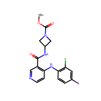 CC(C)(C)OC(=O)N1CC(NC(=O)c2cnccc2Nc2ccc(I)cc2F)C1